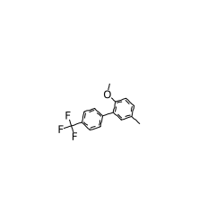 COc1ccc(C)cc1-c1ccc(C(F)(F)F)cc1